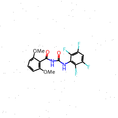 COc1cccc(OC)c1C(=O)NC(=O)Nc1c(F)c(F)cc(F)c1F